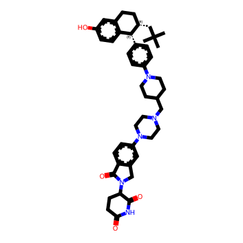 CC(C)(C)C[C@H]1CCc2cc(O)ccc2[C@H]1c1ccc(N2CCC(CN3CCN(c4ccc5c(c4)CN(C4CCC(=O)NC4=O)C5=O)CC3)CC2)cc1